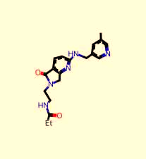 CCC(=O)NCCN1Cc2nc(NCc3cncc(C)c3)ccc2C1=O